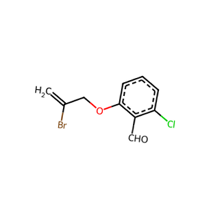 C=C(Br)COc1cccc(Cl)c1C=O